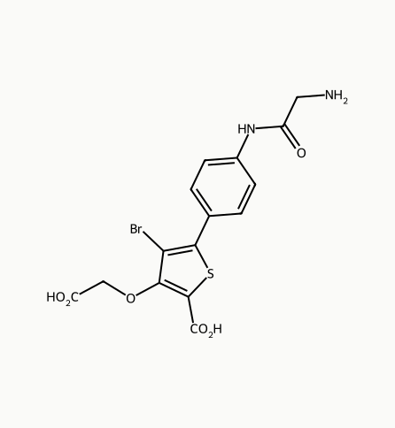 NCC(=O)Nc1ccc(-c2sc(C(=O)O)c(OCC(=O)O)c2Br)cc1